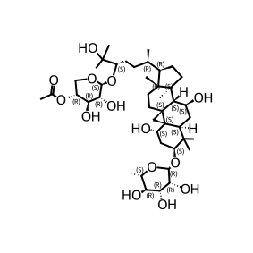 CC(=O)O[C@@H]1CO[C@@H](O[C@@H](CC[C@@H](C)[C@H]2CC[C@@]3(C)[C@@H]4[C@@H](O)C[C@H]5C(C)(C)[C@@H](O[C@@H]6O[C@@H](C)[C@H](O)[C@@H](O)[C@H]6O)C[C@H](O)[C@@]56C[C@@]46CC[C@]23C)C(C)(C)O)[C@H](O)[C@H]1O